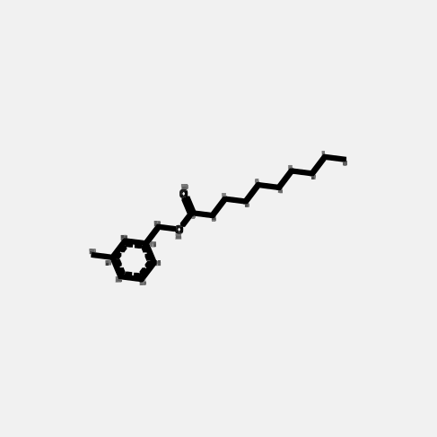 CCCCCCCCCC(=O)OCc1cccc(C)c1